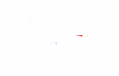 O=C1N[C@H](C(=O)O)CC[C@H]1O